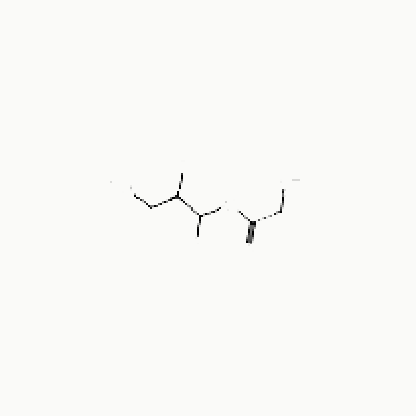 CCC(=O)OC(Br)C(O)CO